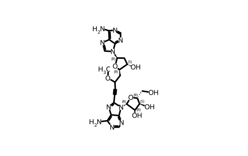 COC(C#Cc1nc2c(N)ncnc2n1[C@@H]1O[C@H](CO)[C@@H](O)[C@H]1O)C[C@H]1O[C@@H](n2cnc3c(N)ncnc32)C[C@@H]1O